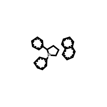 c1ccc(C2CCCP2c2ccccc2)cc1.c1ccc2ccccc2c1